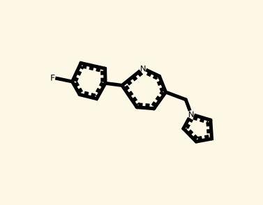 Fc1ccc(-c2ccc(Cn3cccc3)cn2)cc1